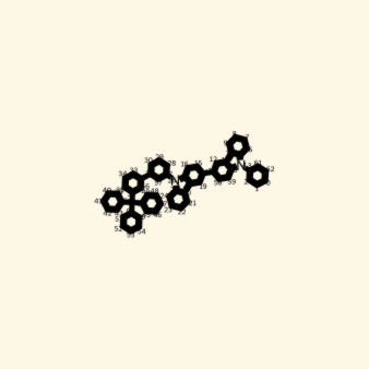 c1ccc(-n2c3ccccc3c3cc(-c4ccc5c(c4)c4ccccc4n5-c4cccc(-c5cccc(C(c6ccccc6)(c6ccccc6)c6ccccc6)c5)c4)ccc32)cc1